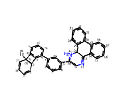 C1=CC2c3c(-c4cccc(C5=CN=C6c7ccccc7-c7ccccc7C6N5)c4)cccc3[C@H]2C=C1